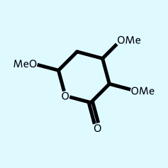 COC1CC(OC)C(OC)C(=O)O1